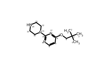 CC(C)(C)COc1ccnc(N2CCNCC2)n1